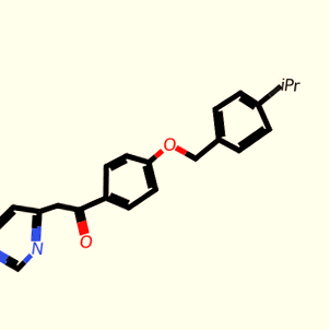 CC(C)c1ccc(COc2ccc(C(=O)Cc3ccncn3)cc2)cc1